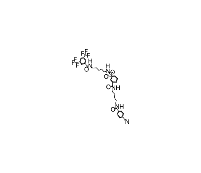 N#Cc1ccc(C(=O)NCCCCCNC(=O)c2cccc(S(=O)(=O)NCCCCCNC(=O)c3cc(C(F)(F)F)cc(C(F)(F)F)c3)c2)cc1